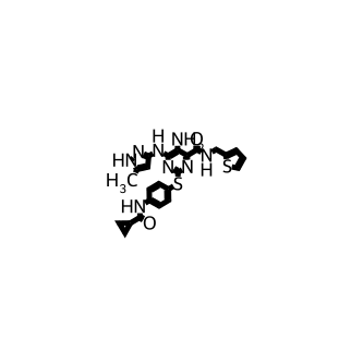 Cc1cc(Nc2nc(Sc3ccc(NC(=O)C4CC4)cc3)nc(C(=O)NCc3cccs3)c2N)n[nH]1